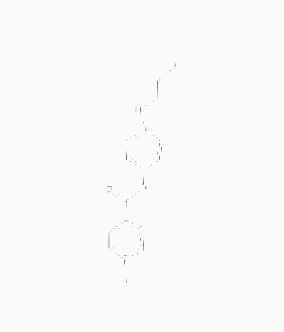 CCCCOc1ccc(OC(=O)c2ccc(C)cc2)cc1